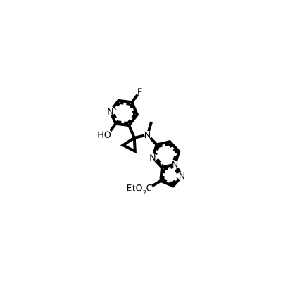 CCOC(=O)c1cnn2ccc(N(C)C3(c4cc(F)cnc4O)CC3)nc12